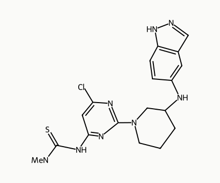 CNC(=S)Nc1cc(Cl)nc(N2CCCC(Nc3ccc4[nH]ncc4c3)C2)n1